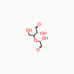 O=C[C@@H](O)OC(CO)[C@@H](O)C=O